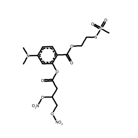 CN(C)c1ccc(C(=O)OCCSS(C)(=O)=O)c(OC(=O)CC(CO[N+](=O)[O-])O[N+](=O)[O-])c1